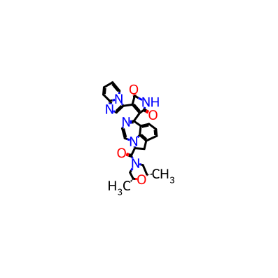 C[C@@H]1CN(C(=O)C2Cc3cccc4c3N2C=CN=C4C2=C(c3cnc4ccccn34)C(=O)NC2=O)C[C@H](C)O1